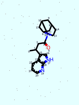 CC(CC(=O)N1C2CC3CC(C2)CC1C3)c1c[nH]c2ncccc12